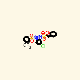 O=S(=O)(Nc1ccc(Cl)cc1NS(=O)(=O)c1cc2ccccc2o1)c1cccc(C(F)(F)F)c1